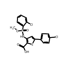 COP(=O)(Nc1cc(-c2ccc(Cl)cc2)sc1C(=O)O)c1ccccc1Cl